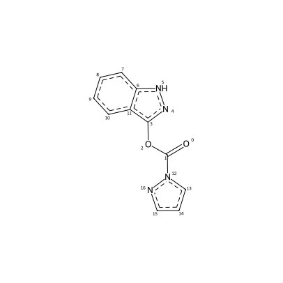 O=C(Oc1n[nH]c2ccccc12)n1cccn1